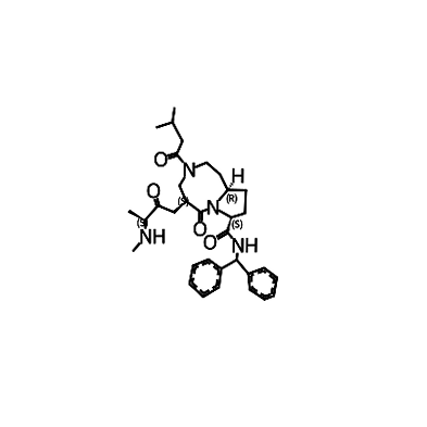 CN[C@@H](C)C(=O)C[C@H]1CN(C(=O)CC(C)C)CC[C@H]2CC[C@@H](C(=O)NC(c3ccccc3)c3ccccc3)N2C1=O